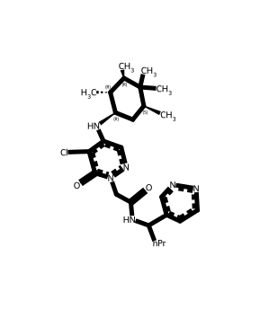 CCCC(NC(=O)Cn1ncc(N[C@@H]2C[C@H](C)C(C)(C)[C@H](C)[C@H]2C)c(Cl)c1=O)c1ccnnc1